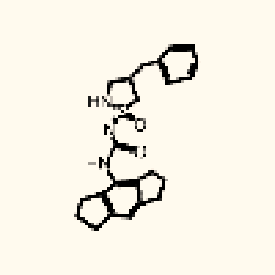 O=C(N=S1(=O)CC(Cc2ccccc2)CN1)Nc1c2c(cc3c1CCC3)CCC2